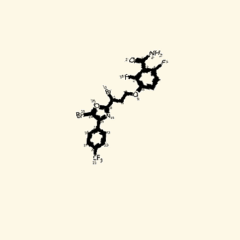 NC(=O)c1c(F)ccc(OCCC(Br)c2nc(-c3ccc(C(F)(F)F)cc3)c(Br)o2)c1F